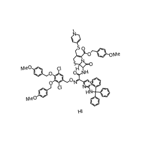 COc1ccc(COC(=O)C2=C(CSC3=CCN(C)C=C3)CS[C@H]3C(NC(=O)/C(=N\OCc4cc(Cl)c(OCc5ccc(OC)cc5)c(OCc5ccc(OC)cc5)c4Cl)c4csc(NC(c5ccccc5)(c5ccccc5)c5ccccc5)n4)C(=O)N23)cc1.I